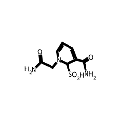 NC(=O)CN1C=CC=C(C(N)=O)C1S(=O)(=O)O